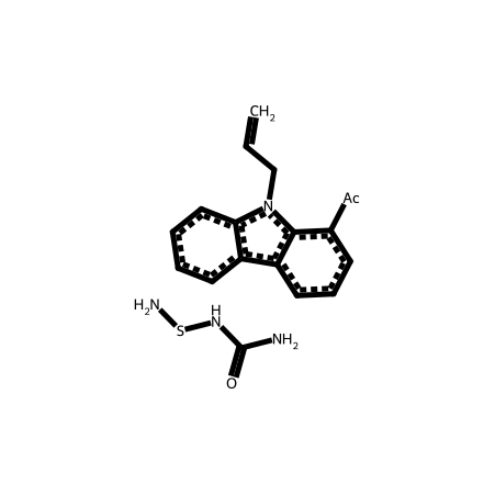 C=CCn1c2ccccc2c2cccc(C(C)=O)c21.NSNC(N)=O